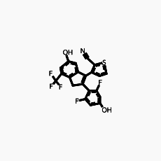 N#Cc1sccc1C1=C(c2c(F)cc(O)cc2F)Cc2c1cc(O)cc2C(F)(F)F